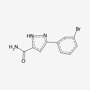 NC(=O)c1cc(-c2cccc(Br)c2)n[nH]1